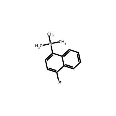 C[Si](C)(C)c1ccc(Br)c2ccccc12